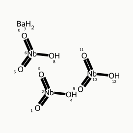 [BaH2].[O]=[Nb](=[O])[OH].[O]=[Nb](=[O])[OH].[O]=[Nb](=[O])[OH]